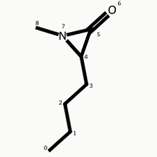 CCCCC1C(=O)N1C